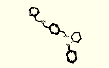 c1ccc(N[C@H]2CCCC[C@H]2NCc2ccc(CNCc3ccccn3)cc2)cc1